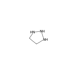 C1CNNN1